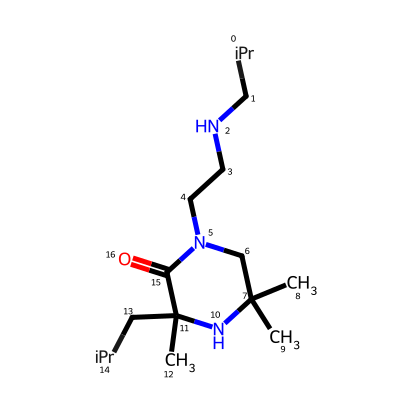 CC(C)CNCCN1CC(C)(C)NC(C)(CC(C)C)C1=O